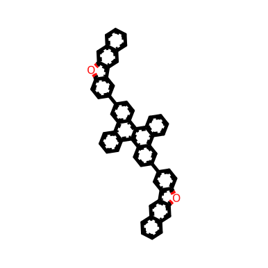 c1ccc2cc3c(cc2c1)oc1ccc(-c2ccc4c(c2)c2ccccc2c2c5ccc(-c6ccc7oc8cc9ccccc9cc8c7c6)cc5c5ccccc5c42)cc13